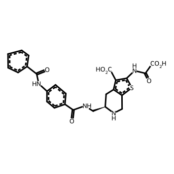 O=C(O)C(=O)Nc1sc2c(c1C(=O)O)C[C@H](CNC(=O)c1ccc(NC(=O)c3ccccc3)cc1)NC2